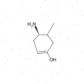 CC1CC(O)=CC[C@H]1N